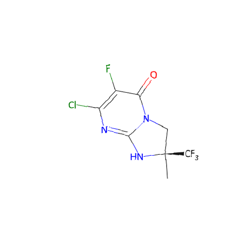 C[C@@]1(C(F)(F)F)Cn2c(nc(Cl)c(F)c2=O)N1